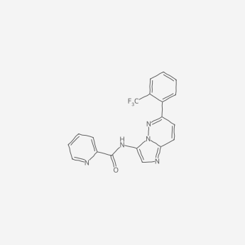 O=C(Nc1cnc2ccc(-c3ccccc3C(F)(F)F)nn12)c1ccccn1